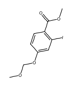 COCOc1ccc(C(=O)OC)c(I)c1